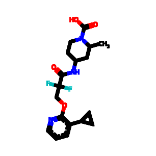 CC1CC(NC(=O)C(F)(F)COc2ncccc2C2CC2)CCN1C(=O)O